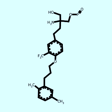 Cc1ccc(C)c(CCCOc2ccc(CCC(N)(CO)COP=O)cc2C(F)(F)F)c1